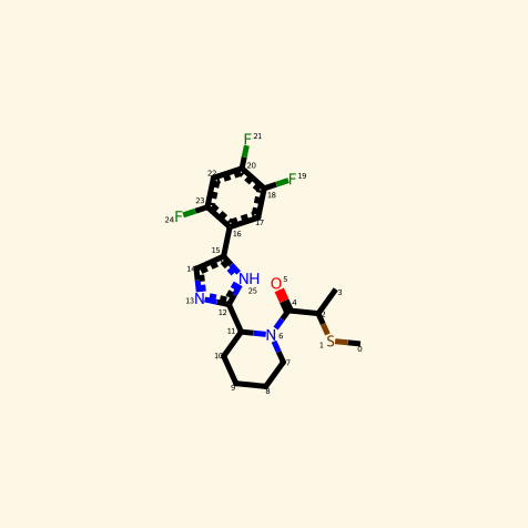 CSC(C)C(=O)N1CCCCC1c1ncc(-c2cc(F)c(F)cc2F)[nH]1